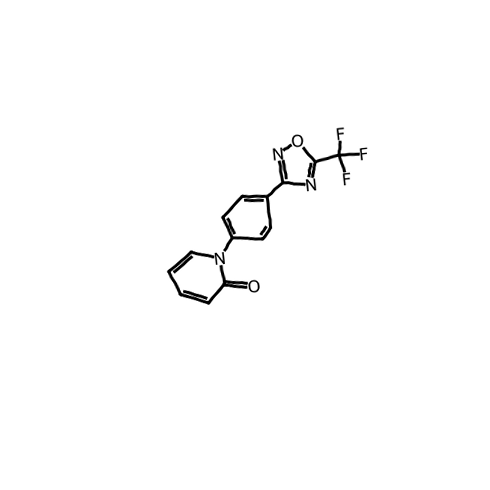 O=c1ccccn1-c1ccc(-c2noc(C(F)(F)F)n2)cc1